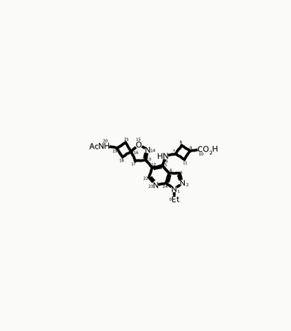 CCn1ncc2c(NC3CC(C(=O)O)C3)c(C3=NOC4(C3)CC(NC(C)=O)C4)cnc21